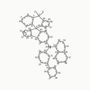 CC1(C)c2ccccc2C2(c3ccccc3-c3cc(N(c4cccc(-c5ccccc5)c4)c4cccc5ccccc45)ccc32)c2ccccc21